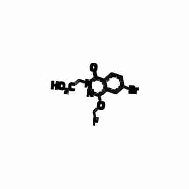 O=C(O)Cn1nc(OCF)c2cc(Br)ccc2c1=O